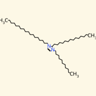 CCCCCCCCCCCCCCCCCCN1C=CN(CCCCCCCCCCC)C1CCCCCCCCCCCCCC